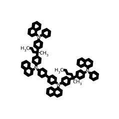 CCCCC(C)(c1ccc(N(c2ccccc2)c2cccc3ccccc23)cc1)c1ccc(N(c2ccc(-c3ccc(N(c4ccc([C@@](C)(CCC)c5ccc(N(c6ccccc6)c6cccc7ccccc67)cc5)cc4)c4cccc5ccccc45)cc3)cc2)c2cccc3ccccc23)cc1